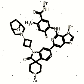 CC(=O)N1CCC2(CC1)C(=O)N([C@H]1C[C@@H](N3CC4CCC(C3)O4)C1)c1cc(-c3cc4ncn(C(C)C)c4c(Nc4cc(C(=O)NC(C)C)c(C)cc4F)n3)ccc12